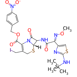 CON=C(C(=O)NC1C(=O)N2C(C(=O)OCc3ccc([N+](=O)[O-])cc3)=C(CI)CS[C@@H]12)c1csc(N[Si](C)(C)C)n1